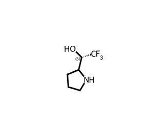 O[C@@H](C1CCCN1)C(F)(F)F